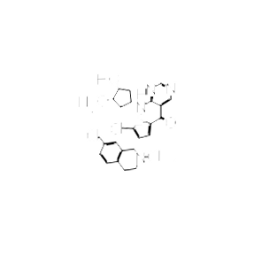 [CH2][C@@H]1C[C@@H](Nc2ncncc2C(=O)c2cc([C@H]3c4cc(Cl)ccc4CCN3C)c(Cl)s2)C[C@@H]1O